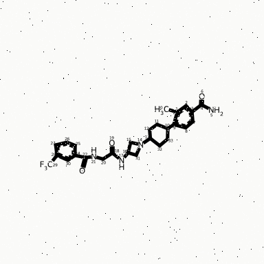 Cc1cc(C(N)=O)ccc1C1CCC(N2CC(NC(=O)CNC(=O)c3cccc(C(F)(F)F)c3)C2)CC1